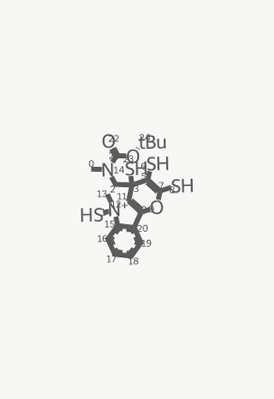 CN(CC1(S)C(S)=C(S)OC2=C1[N+](C)(S)c1ccccc12)C(=O)OC(C)(C)C